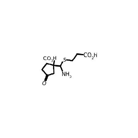 NC(SCCC(=O)O)C1(C(=O)O)CCC(=O)C1